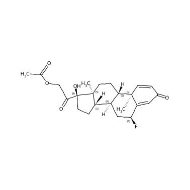 CC(=O)OCC(=O)[C@@]1(O)CC[C@H]2[C@@H]3C[C@H](F)C4=CC(=O)C=C[C@]4(C)[C@H]3CC[C@@]21C